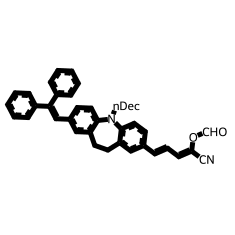 CCCCCCCCCCN1c2ccc(C=C(c3ccccc3)c3ccccc3)cc2CCc2cc(/C=C/C=C(/C#N)OC=O)ccc21